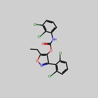 CCc1onc(-c2c(Cl)cccc2Cl)c1OC(=O)Nc1cccc(Cl)c1Cl